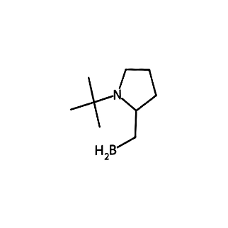 BCC1CCCN1C(C)(C)C